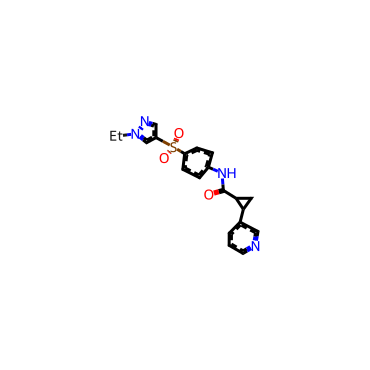 CCn1cc(S(=O)(=O)c2ccc(NC(=O)C3CC3c3cccnc3)cc2)cn1